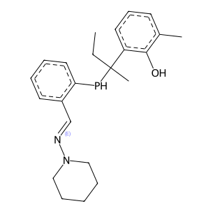 CCC(C)(Pc1ccccc1/C=N/N1CCCCC1)c1cccc(C)c1O